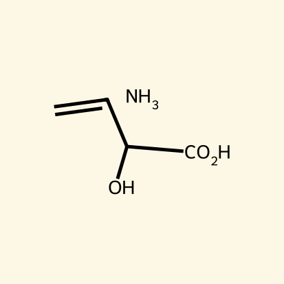 C=CC(O)C(=O)O.N